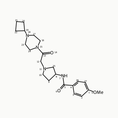 COc1ccc(C(=O)NC2CCN(CC(=O)N3CCN(C4CCC4)CC3)C2)cc1